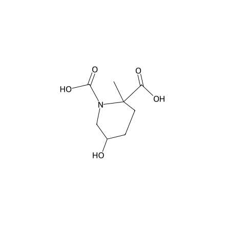 CC1(C(=O)O)CCC(O)CN1C(=O)O